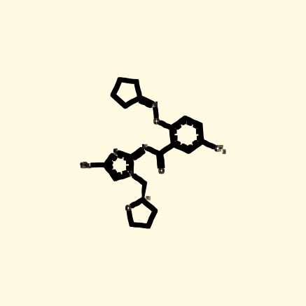 CC(C)(C)c1cn(C[C@H]2CCCO2)c(=NC(=O)c2cc(C(F)(F)F)ccc2ON=C2CCCC2)s1